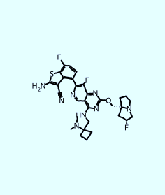 CN(C)C1(CNc2nc(OC[C@]34CCCN3C[C@@H](F)C4)nc3c(F)c(-c4ccc(F)c5sc(N)c(C#N)c45)ncc23)CCC1